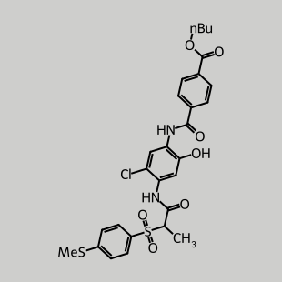 CCCCOC(=O)c1ccc(C(=O)Nc2cc(Cl)c(NC(=O)C(C)S(=O)(=O)c3ccc(SC)cc3)cc2O)cc1